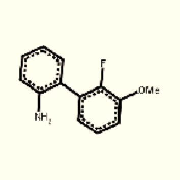 COc1cccc(-c2ccccc2N)c1F